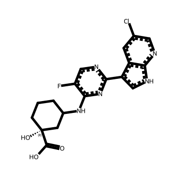 O=C(O)[C@@]1(O)CCCC(Nc2nc(-c3c[nH]c4ncc(Cl)cc34)ncc2F)C1